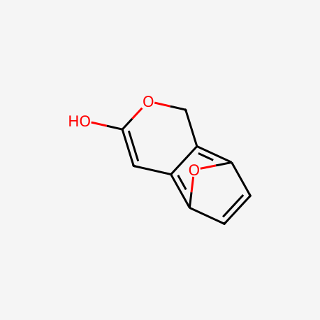 OC1=Cc2c(c3ccc2o3)CO1